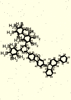 Bc1c(B)c(B)c(-c2nc(-c3ccc4c(c3)oc3cc(-n5c6ccccc6c6cc(-c7ccccc7)ccc65)ccc34)nc(-c3c(B)c(B)c(B)c(-c4c(B)c(B)c(B)c(B)c4B)c3B)n2)c(B)c1B